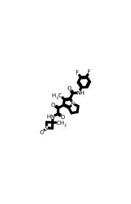 Cc1c(C(=O)C(=O)NC2(C)C[S+]([O-])C2)c2n(c1C(=O)Nc1ccc(F)c(F)c1)CCC2